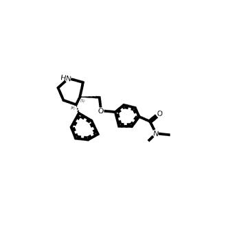 CN(C)C(=O)c1ccc(OC[C@@H]2CNCC[C@H]2c2ccccc2)cc1